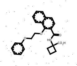 O=C(NC1(C(=O)O)CCC1)c1ccc2ccccc2c1OCCOc1ccccc1